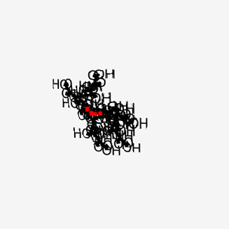 O=C[C@H](CCC(=O)O)NOC1OC(COC2OC(CO)C(ON[C@H](C=O)CCC(=O)O)C(O)C2O)C(OC2OC(CO)C(OC3OC(COC4OC(CO)C(ON[C@H](C=O)CCC(=O)O)C(O)C4O)C(OC4OC(CO)C(OC5OC(COC6OC(CO)C(ON[C@H](C=O)CCC(=O)O)C(O)C6O)C(ON[C@H](C=O)CCC(=O)O)C(O)C5O)C(O)C4O)C(O)C3O)C(O)C2O)C(O)C1O